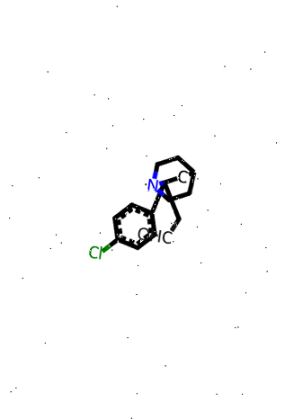 O=CCC1(c2ccc(Cl)cc2)CC2CC[N+]1CC2